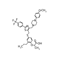 CCCc1cc(SCc2sc(-c3ccc(C(F)(F)F)cc3)nc2CN2CCN(c3ccc(OC)cc3)CC2)ccc1OC(C)C(=O)O